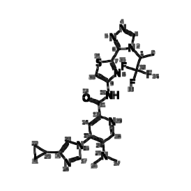 CC(n1cnnc1-c1nc(NC(=O)c2cc(-n3cnc(C4CC4)c3)c(N(C)C)cn2)cs1)C(F)(F)F